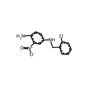 Nc1ccc(NCc2ccccc2Cl)cc1[N+](=O)[O-]